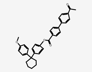 COc1ccc(C2(c3ccc(OC(=O)c4ccc(-c5ccc(C(C)=O)cc5)cc4)cc3)CCCCC2)cc1